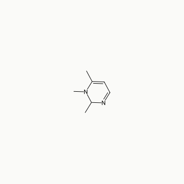 CC1=CC=NC(C)N1C